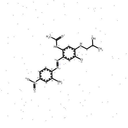 CC(=O)Nc1cc(NCC(C)O)c(Cl)cc1/N=N/c1ccc([N+](=O)[O-])cc1N